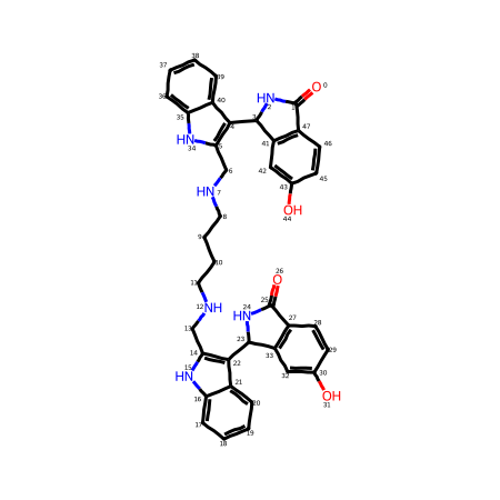 O=C1NC(c2c(CNCCCCNCc3[nH]c4ccccc4c3C3NC(=O)c4ccc(O)cc43)[nH]c3ccccc23)c2cc(O)ccc21